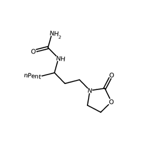 CCCCCC(CCN1CCOC1=O)NC(N)=O